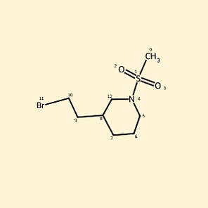 CS(=O)(=O)N1CCCC(CCBr)C1